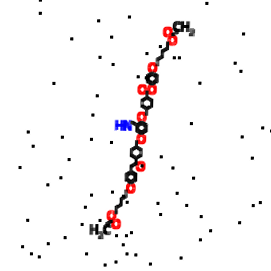 C=CC(=O)OCCCCCCOc1ccc(CC(=O)C2CCC(COc3ccc(OCC4CCC(C(=O)Oc5ccc(OCCCCCCOC(=O)C=C)cc5)CC4)c(C=N)c3)CC2)cc1